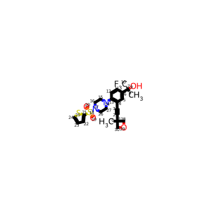 CC1(C#Cc2cc([C@@](C)(O)C(F)(F)F)ccc2N2CCN(S(=O)(=O)c3cccs3)CC2)COC1